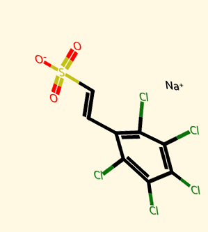 O=S(=O)([O-])/C=C/c1c(Cl)c(Cl)c(Cl)c(Cl)c1Cl.[Na+]